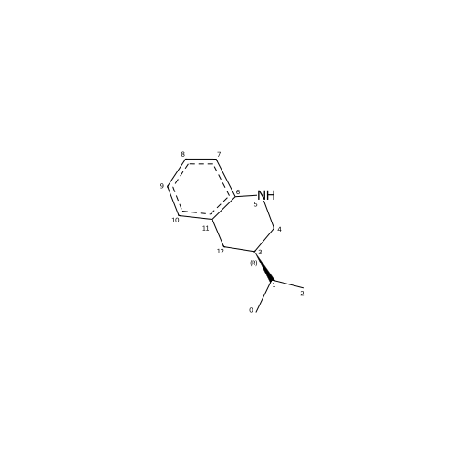 CC(C)[C@@H]1CNc2ccccc2C1